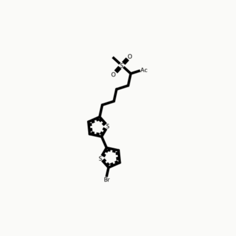 CC(=O)C(CCCCc1ccc(-c2ccc(Br)s2)s1)S(C)(=O)=O